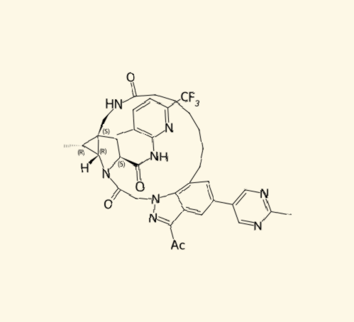 CC(=O)c1nn2c3c(cc(-c4cnc(C)nc4)cc13)CCCCCCC(=O)NC[C@@]13C[C@@H](C(=O)Nc4nc(C(F)(F)F)ccc4C)N(C(=O)C2)[C@@H]1[C@@H]3C